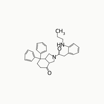 CCCNc1ccccc1CC(=O)N1CC2C(=O)CCC(c3ccccc3)(c3ccccc3)C2C1